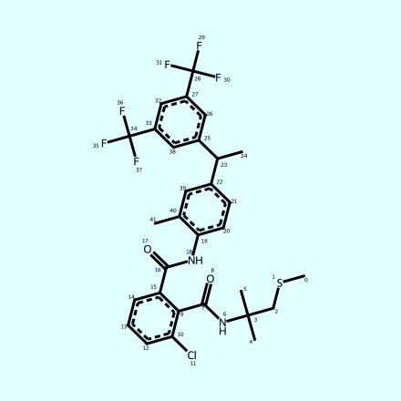 CSCC(C)(C)NC(=O)c1c(Cl)cccc1C(=O)Nc1ccc(C(C)c2cc(C(F)(F)F)cc(C(F)(F)F)c2)cc1C